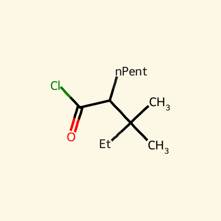 CCCCCC(C(=O)Cl)C(C)(C)CC